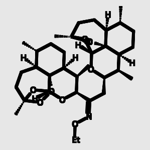 CCO/N=C(/C[C@H]1O[C@@H]2O[C@]3(C)CC[C@H]4[C@H](C)CC[C@@H]([C@H]1C)[C@@]24OO3)[C@H]1O[C@@H]2O[C@]3(C)CC[C@H]4[C@H](C)CC[C@@H]([C@H]1C)[C@@]24OO3